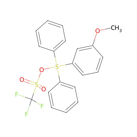 COc1cccc(S(OS(=O)(=O)C(F)(F)F)(c2ccccc2)c2ccccc2)c1